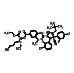 CCOC(=O)N(OC(=O)c1ccc(NC(=O)[C@@H]2N[C@@H](CC(C)(C)C)[C@](C#N)(c3ccc(Cl)cc3F)[C@H]2c2cccc(Cl)c2F)c(OC)c1)[C@H](CO)CCCO